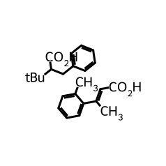 CC(=CC(=O)O)c1ccccc1C.CC(C)(C)C(Cc1ccccc1)C(=O)O